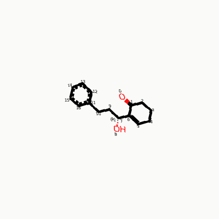 O=C1CCCC=C1[C@H](O)CCc1ccccc1